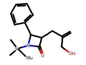 C=C(CO)CC1C(=O)N([Si](C)(C)C(C)(C)C)C1c1ccccc1